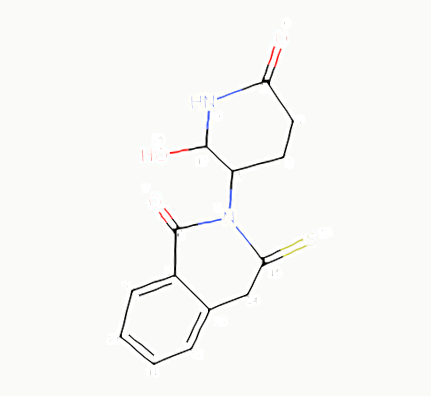 O=C1CCC(N2C(=O)c3ccccc3CC2=S)C(O)N1